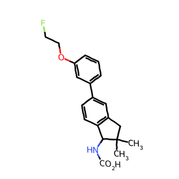 CC1(C)Cc2cc(-c3cccc(OCCF)c3)ccc2C1NC(=O)O